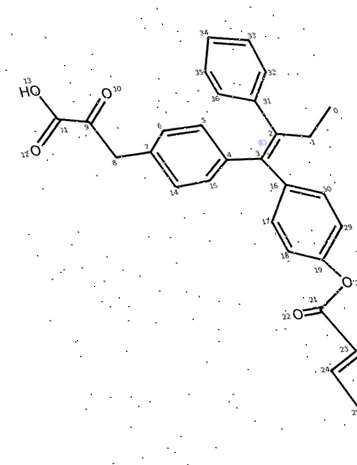 CC/C(=C(/c1ccc(CC(=O)C(=O)O)cc1)c1ccc(OC(=O)c2ccccc2)cc1)c1ccccc1